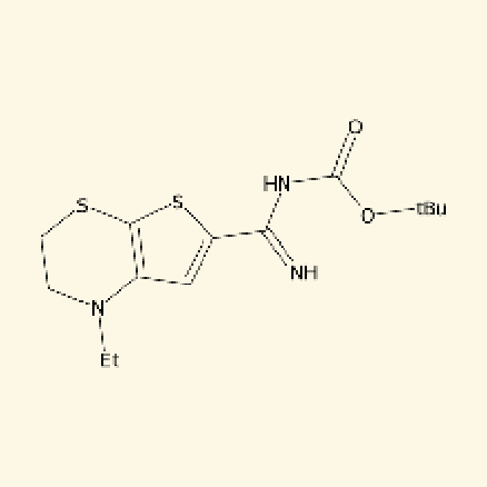 CCN1CCSc2sc(C(=N)NC(=O)OC(C)(C)C)cc21